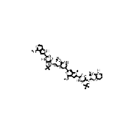 COc1nccc2[nH]c(C(=O)N[C@@H](CC(C)(C)C)C(=O)N[C@H](C#N)C[C@@H]3CC(c4cc5c(cc(C(=O)N[C@@H](CC(C)(C)C)C(=O)N[C@H](C#N)C[C@@H]6CCCNC6=O)n5C)c(OC)n4)CNC3=O)cc12